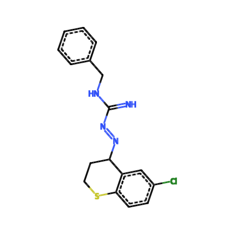 N=C(N=NC1CCSc2ccc(Cl)cc21)NCc1ccccc1